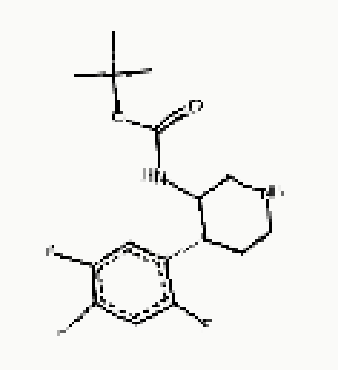 CC(C)(C)OC(=O)NC1CNCC[C@@H]1c1cc(F)c(F)cc1F